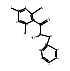 Cc1cc(C)c(C(=O)C(P)Cc2cc[c]cc2)c(C)c1